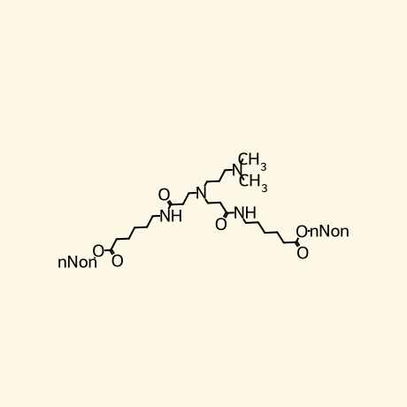 CCCCCCCCCOC(=O)CCCCCNC(=O)CCN(CCCN(C)C)CCC(=O)NCCCCCC(=O)OCCCCCCCCC